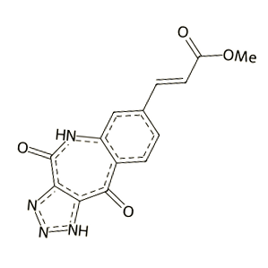 COC(=O)/C=C/c1ccc2c(=O)c3[nH]nnc3c(=O)[nH]c2c1